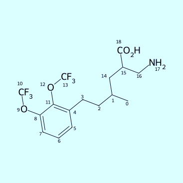 CC(CCc1cccc(OC(F)(F)F)c1OC(F)(F)F)CC(CN)C(=O)O